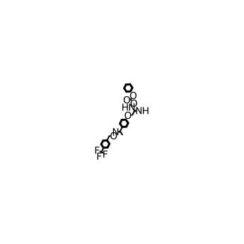 C/C(=N\OCc1ccc(C(F)(F)F)cc1)c1ccc(OCC(=N)NOC(=O)Oc2ccccc2)cc1